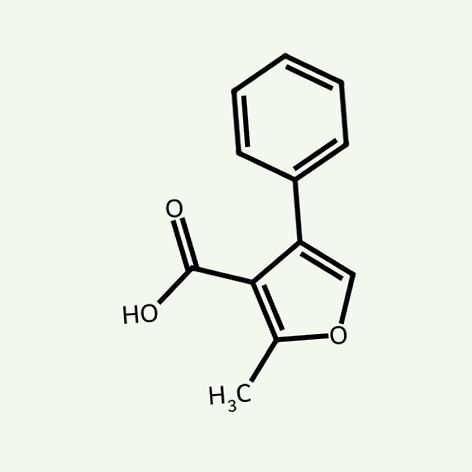 Cc1occ(-c2ccccc2)c1C(=O)O